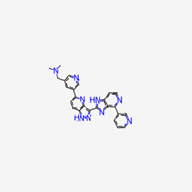 CN(C)Cc1cncc(-c2ccc3[nH]nc(-c4nc5c(-c6cccnc6)nccc5[nH]4)c3n2)c1